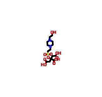 O=C(O)CC(CC(=O)O)(OS(=O)(=O)CCN1CCN(CCO)CC1)C(=O)O